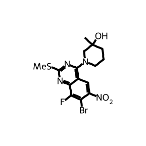 CSc1nc(N2CCCC(C)(O)C2)c2cc([N+](=O)[O-])c(Br)c(F)c2n1